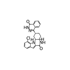 O=C1N[C@H]2CC[C@H](c3n[nH]c(=O)c4ccccc34)C[C@@H]2n2c1cc1cccc(Cl)c12